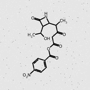 CC(O)C1C(=O)NC1C(C)C(=O)CC(=O)OC(=O)c1ccc([N+](=O)[O-])cc1